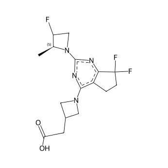 C[C@H]1C(F)CN1c1nc(N2CC(CC(=O)O)C2)c2c(n1)C(F)(F)CC2